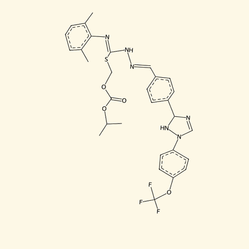 Cc1cccc(C)c1/N=C(/N/N=C/c1ccc(C2N=CN(c3ccc(OC(F)(F)F)cc3)N2)cc1)SCOC(=O)OC(C)C